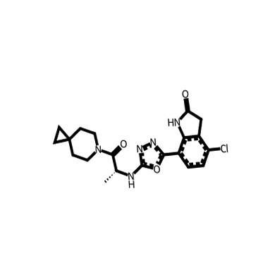 C[C@@H](Nc1nnc(-c2ccc(Cl)c3c2NC(=O)C3)o1)C(=O)N1CCC2(CC1)CC2